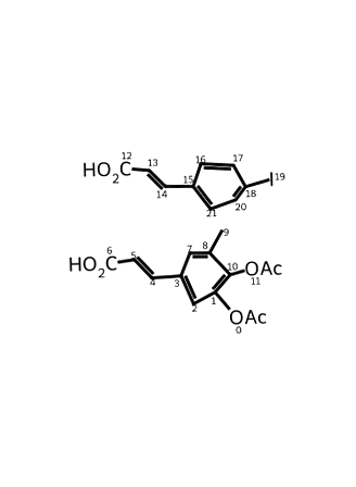 CC(=O)Oc1cc(C=CC(=O)O)cc(C)c1OC(C)=O.O=C(O)C=Cc1ccc(I)cc1